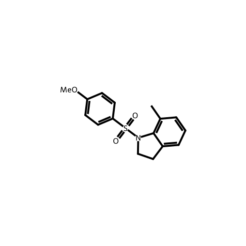 COc1ccc(S(=O)(=O)N2CCc3cccc(C)c32)cc1